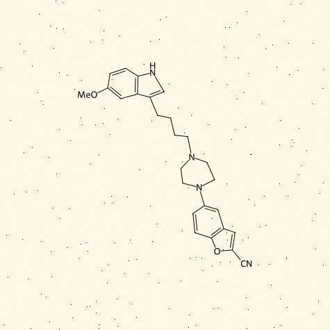 COc1ccc2[nH]cc(CCCCN3CCN(c4ccc5oc(C#N)cc5c4)CC3)c2c1